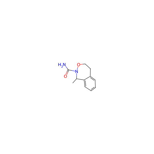 CC1c2ccccc2CCON1C(N)=O